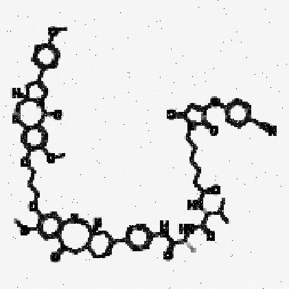 COc1ccc(C2=CN3C(=O)c4cc(OC)c(OCCCOc5cc6c(cc5OC)C(=O)CC5CC=C(c7ccc(NC(=O)[C@@H](C)NC(=O)[C@H](NC(=O)CCCCCN8C(=O)C=C(Oc9ccc(C#N)cc9)C8=O)C(C)C)cc7)C[C@H]5/C=N\6)cc4N=C[C@@H]3C2)cc1